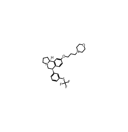 FC(F)(F)Sc1cccc([C@H]2CN3CCC[C@H]3c3cc(OCCCN4CCOCC4)ccc32)c1